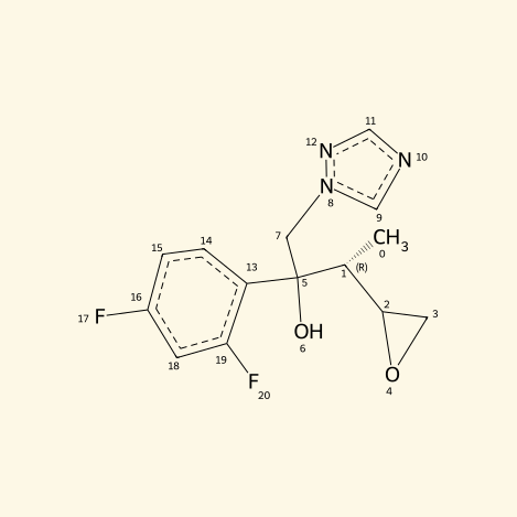 C[C@H](C1CO1)C(O)(Cn1cncn1)c1ccc(F)cc1F